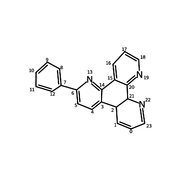 C1=CC2c3ccc(-c4ccccc4)nc3-c3cccnc3C2N=C1